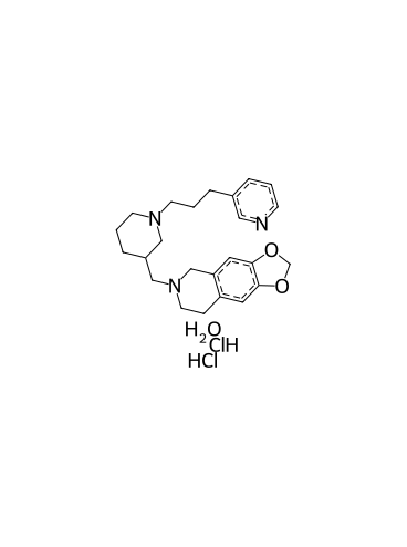 Cl.Cl.O.c1cncc(CCCN2CCCC(CN3CCc4cc5c(cc4C3)OCO5)C2)c1